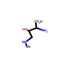 CCCNCC(O)C(N)C(=O)O